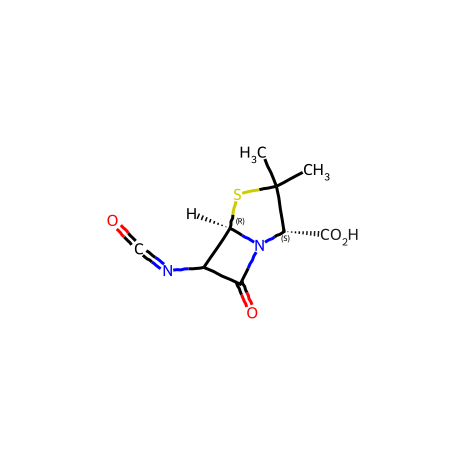 CC1(C)S[C@@H]2C(N=C=O)C(=O)N2[C@H]1C(=O)O